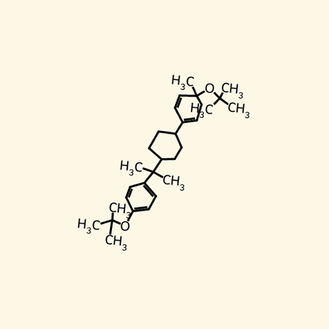 CC(C)(C)Oc1ccc(C(C)(C)C2CCC(C3=CCC(C)(OC(C)(C)C)C=C3)CC2)cc1